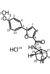 COc1ccc(-c2ccc(C(=O)N[C@H]3CN4CCC3CC4)o2)cc1.Cl